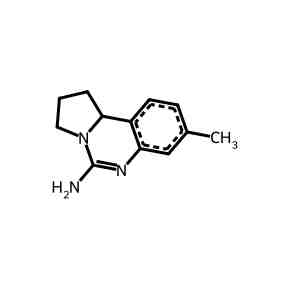 Cc1ccc2c(c1)N=C(N)N1CCCC21